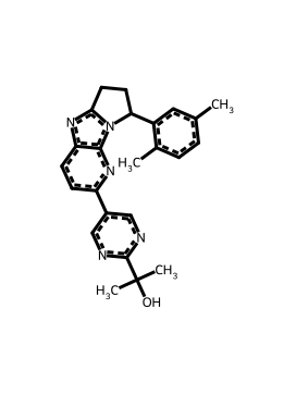 Cc1ccc(C)c(C2CCc3nc4ccc(-c5cnc(C(C)(C)O)nc5)nc4n32)c1